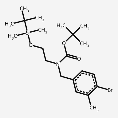 Cc1cc(CN(CCO[Si](C)(C)C(C)(C)C)C(=O)OC(C)(C)C)ccc1Br